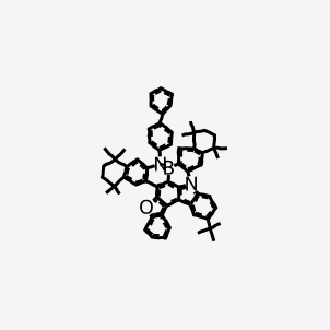 CC(C)(C)c1ccc2c(c1)c1c3c(oc4ccccc43)c3c4c1n2-c1cc2c(cc1B4N(c1ccc(-c4ccccc4)cc1)c1cc4c(cc1-3)C(C)(C)CCC4(C)C)C(C)(C)CCC2(C)C